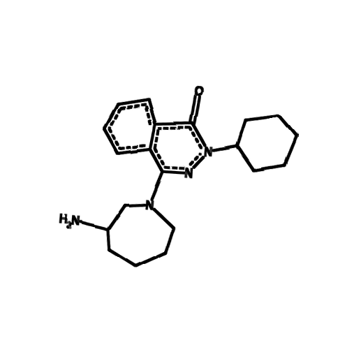 NC1CCCCN(c2nn(C3CCCCC3)c(=O)c3ccccc23)C1